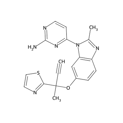 C#CC(C)(Oc1ccc2nc(C)n(-c3ccnc(N)n3)c2c1)c1nccs1